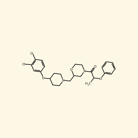 CC(Oc1ccccc1)C(=O)N1CCOC(CN2CCC(Oc3ccc(Cl)c(Cl)c3)CC2)C1